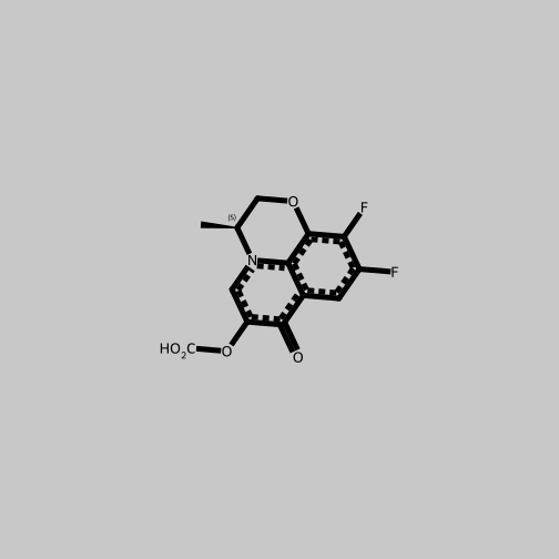 C[C@H]1COc2c(F)c(F)cc3c(=O)c(OC(=O)O)cn1c23